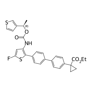 CCOC(=O)C1(c2ccc(-c3ccc(-c4sc(F)cc4NC(=O)O[C@H](C)c4ccsc4)cc3)cc2)CC1